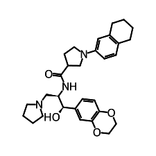 O=C(N[C@H](CN1CCCC1)[C@H](O)c1ccc2c(c1)OCCO2)C1CCN(c2ccc3c(c2)CCCC3)C1